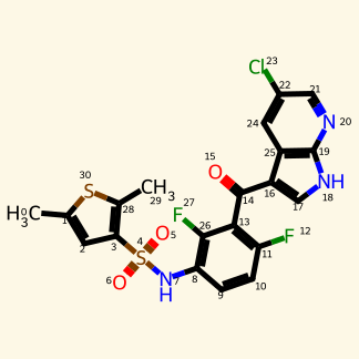 Cc1cc(S(=O)(=O)Nc2ccc(F)c(C(=O)c3c[nH]c4ncc(Cl)cc34)c2F)c(C)s1